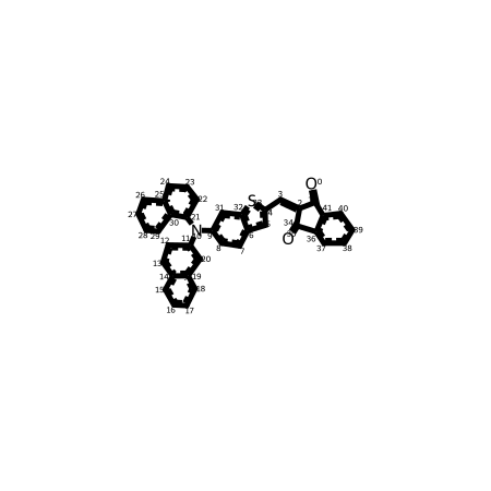 O=C1C(=Cc2cc3ccc(N(c4ccc5ccccc5c4)c4cccc5ccccc45)cc3s2)C(=O)c2ccccc21